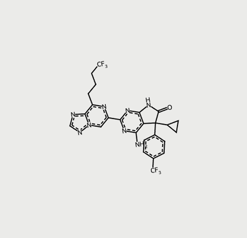 Nc1nc(-c2cn3ncnc3c(CCCC(F)(F)F)n2)nc2c1C(c1ccc(C(F)(F)F)cc1)(C1CC1)C(=O)N2